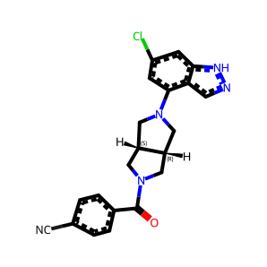 N#Cc1ccc(C(=O)N2C[C@@H]3CN(c4cc(Cl)cc5[nH]ncc45)C[C@@H]3C2)cc1